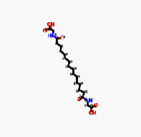 O=C(O)CNC(=O)CCCCCCCCCCCCCCC(=O)NCC(=O)O